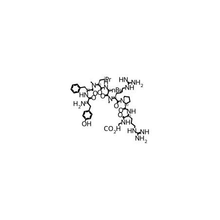 CCCC[C@H](NC(=O)[C@H](CC(C)C)N(C)C(=O)[C@H](Cc1ccccc1)NC(=O)[C@@H](N)Cc1ccc(O)cc1)C(=O)N(C)[C@@H](CCCNC(=N)N)C(=O)N1CCC[C@H]1C(=O)N[C@@H](CCCNC(=N)N)C(=O)NCC(=O)O